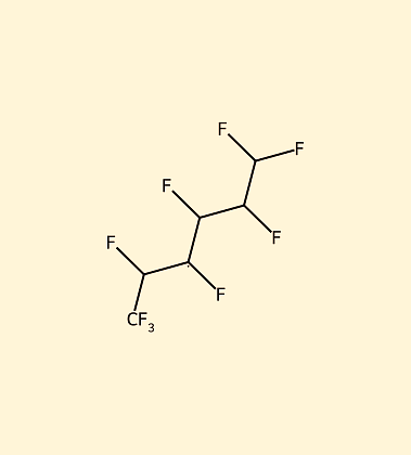 F[C](C(F)C(F)C(F)F)C(F)C(F)(F)F